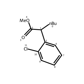 CCCCC(C(=O)OC)c1ccccc1Cl